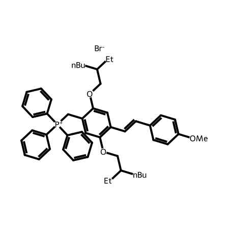 CCCCC(CC)COc1cc(C[P+](c2ccccc2)(c2ccccc2)c2ccccc2)c(OCC(CC)CCCC)cc1C=Cc1ccc(OC)cc1.[Br-]